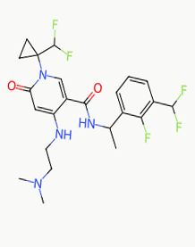 CC(NC(=O)c1cn(C2(C(F)F)CC2)c(=O)cc1NCCN(C)C)c1cccc(C(F)F)c1F